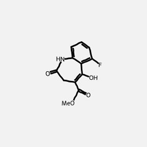 COC(=O)C1=C(O)c2c(F)cccc2NC(=O)C1